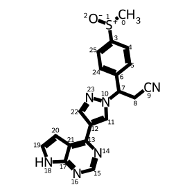 C[S+]([O-])c1ccc(C(CC#N)n2cc(-c3ncnc4[nH]ccc34)cn2)cc1